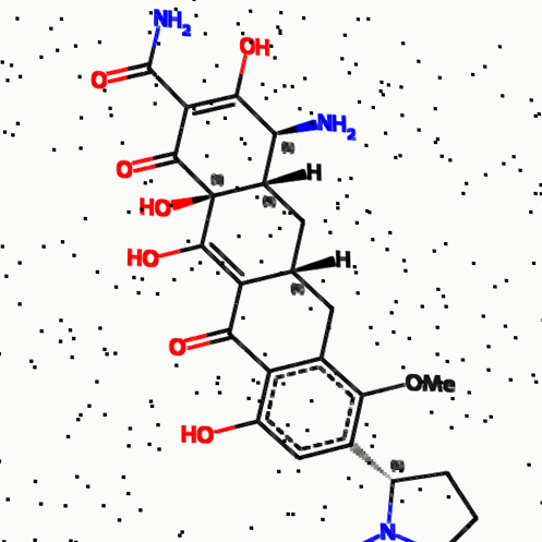 COc1c([C@@H]2CCCN2C)cc(O)c2c1C[C@H]1C[C@H]3[C@H](N)C(O)=C(C(N)=O)C(=O)[C@@]3(O)C(O)=C1C2=O